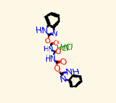 Cl.Cl.O=C(NC(=O)Oc1nc2ccccc2[nH]1)NC(=O)Oc1nc2ccccc2[nH]1